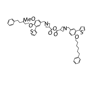 COc1cc(CN2CC(C(=O)OC(=O)C3CN(Cc4ccc(OCCCCCCc5ccccc5)c(-c5cccs5)c4)C3)C2)cc(-c2cccs2)c1OCCCCCc1ccccc1